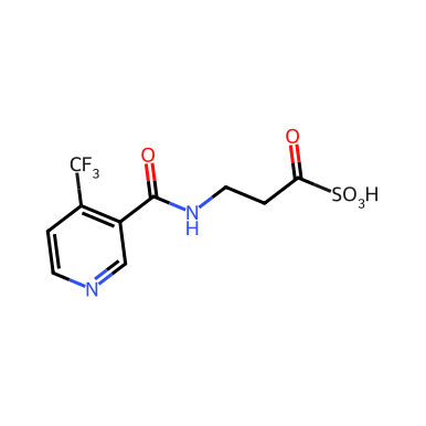 O=C(NCCC(=O)S(=O)(=O)O)c1cnccc1C(F)(F)F